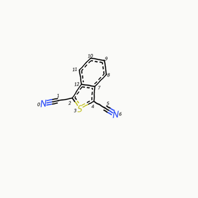 N#Cc1sc(C#N)c2ccccc12